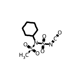 CS(=O)(=O)N(C1CCCCC1)S(=O)(=O)N=C=O